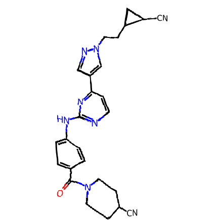 N#CC1CCN(C(=O)c2ccc(Nc3nccc(-c4cnn(CCC5CC5C#N)c4)n3)cc2)CC1